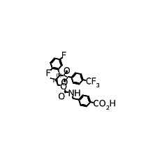 C[C@H](COC(=O)NCc1ccc(C(=O)O)cc1)[C@@H](c1cc(F)ccc1F)S(=O)(=O)c1ccc(C(F)(F)F)cc1